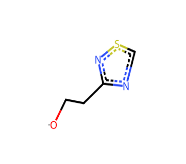 [O]CCc1ncsn1